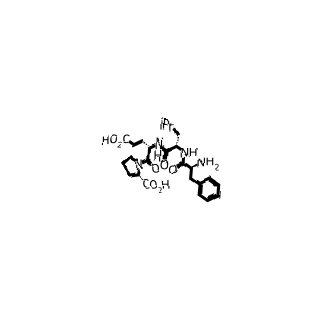 CC(C)C[C@H](NC(=O)[C@@H](N)Cc1ccccc1)C(=O)N[C@@H](CCC(=O)O)C(=O)N1CCC[C@H]1C(=O)O